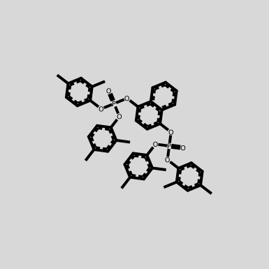 Cc1ccc(OP(=O)(Oc2ccc(C)cc2C)Oc2ccc(OP(=O)(Oc3ccc(C)cc3C)Oc3ccc(C)cc3C)c3ccccc23)c(C)c1